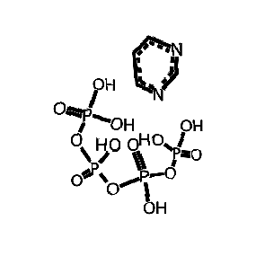 O=P(O)(O)OP(=O)(O)OP(=O)(O)OP(=O)(O)O.c1cncnc1